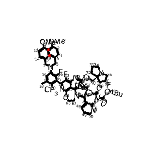 COc1ccc(CN(Cc2ccc(OC)cc2)c2cc(C)c(C(F)(F)F)c(-c3nc4c5c(nc(OC[C@@]67CCCN6C[C@H](F)C7)nc5c3F)N([C@H](C)c3cccnc3N(C(=O)OC(C)(C)C)C(=O)OC(C)(C)C)CCO4)c2F)cc1